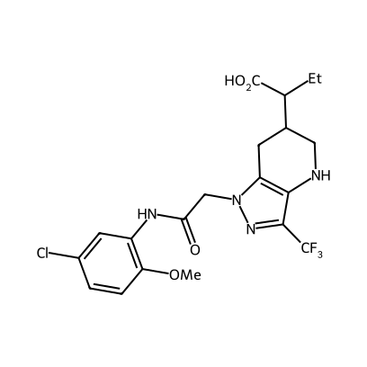 CCC(C(=O)O)C1CNc2c(C(F)(F)F)nn(CC(=O)Nc3cc(Cl)ccc3OC)c2C1